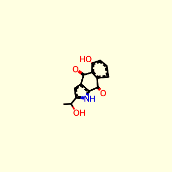 CC(O)c1cc2c([nH]1)C(=O)c1cccc(O)c1C2=O